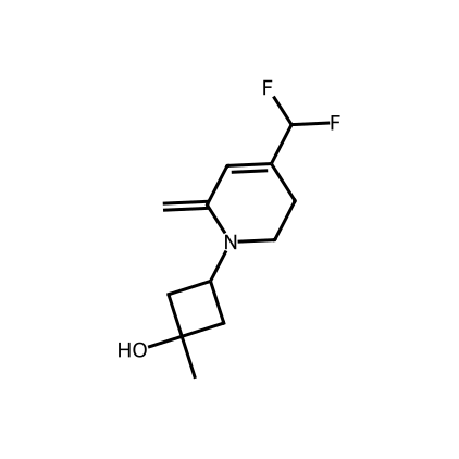 C=C1C=C(C(F)F)CCN1C1CC(C)(O)C1